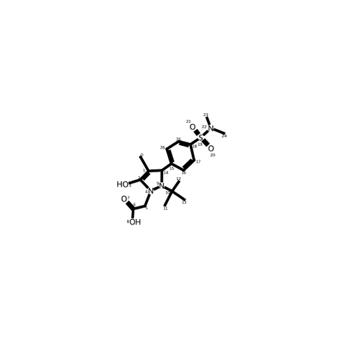 CC1=C(O)N(CC(=O)O)N(C(C)(C)C)C1c1ccc(S(=O)(=O)N(C)C)cc1